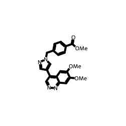 COC(=O)c1ccc(Cn2cc(-c3cnnc4cc(OC)c(OC)cc34)cn2)cc1